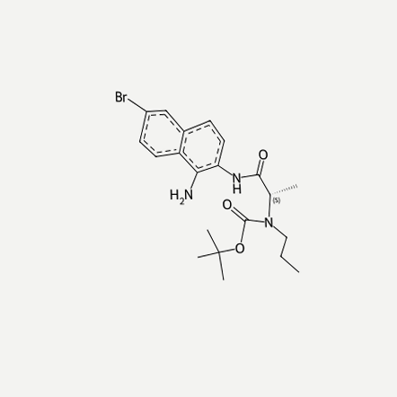 CCCN(C(=O)OC(C)(C)C)[C@@H](C)C(=O)Nc1ccc2cc(Br)ccc2c1N